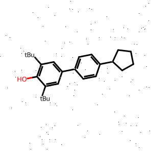 CC(C)(C)c1cc(-c2ccc(C3CCCC3)cc2)cc(C(C)(C)C)c1O